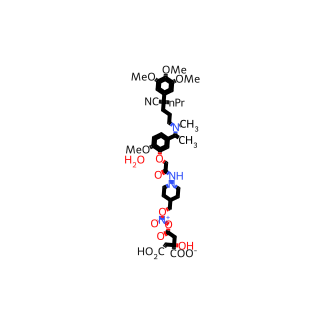 CCCC(C#N)(CCCN(C)C(C)c1ccc(OC)c(OCC(=O)NN2CCC(CO[N+](=O)OC(=O)CC(O)(CC(=O)O)C(=O)[O-])CC2)c1)c1cc(OC)c(OC)c(OC)c1.O